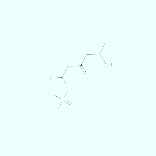 CC(N)CC(=O)CC(N)OP(=O)(O)O